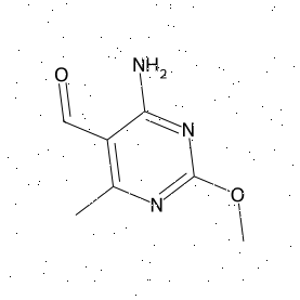 COc1nc(C)c(C=O)c(N)n1